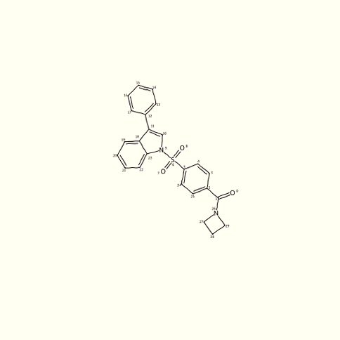 O=C(c1ccc(S(=O)(=O)n2cc(-c3ccccc3)c3ccccc32)cc1)N1CCC1